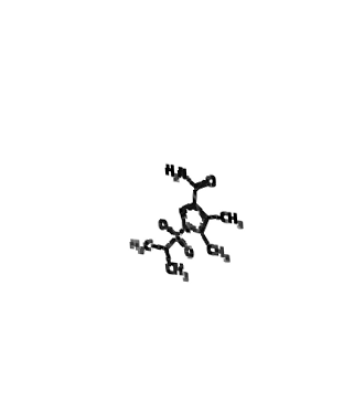 Cc1c(C(N)=O)cn(S(=O)(=O)C(C)C)c1C